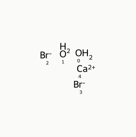 O.O.[Br-].[Br-].[Ca+2]